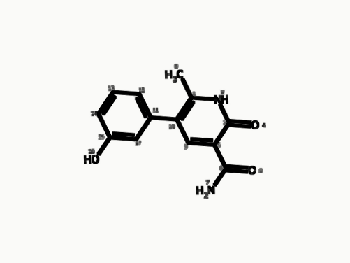 Cc1[nH]c(=O)c(C(N)=O)cc1-c1cccc(O)c1